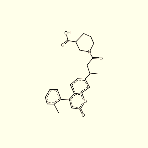 Cc1ccccc1-c1cc(=O)oc2cc(C(C)CC(=O)N3CCCC(C(=O)O)C3)ccc12